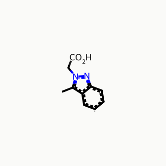 Cc1c2c[c]ccc2nn1CC(=O)O